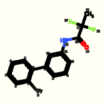 CC(C)c1ccccc1-c1cccc(NC(=O)C(C)(F)F)c1